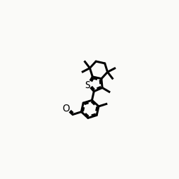 Cc1ccc(C=O)cc1-c1sc2c(c1C)C(C)(C)CCC2(C)C